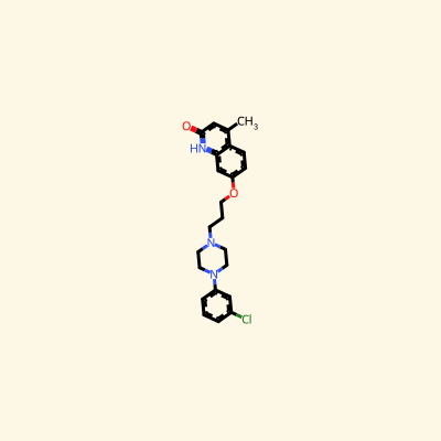 Cc1cc(=O)[nH]c2cc(OCCCN3CCN(c4cccc(Cl)c4)CC3)ccc12